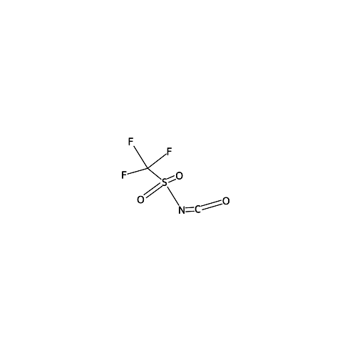 O=C=NS(=O)(=O)C(F)(F)F